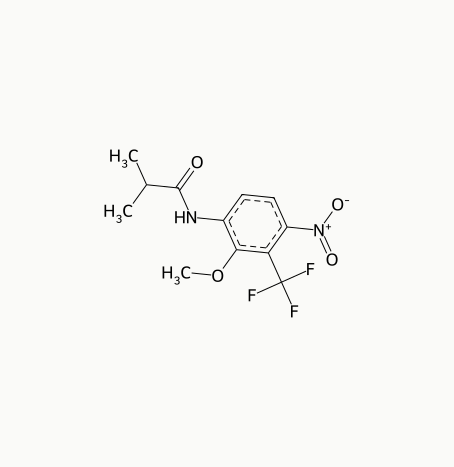 COc1c(NC(=O)C(C)C)ccc([N+](=O)[O-])c1C(F)(F)F